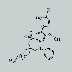 CCCCC1(CC)CN(c2ccccc2)c2cc(SC)c(O/C=C\C(O)O)cc2S(=O)(=O)C1